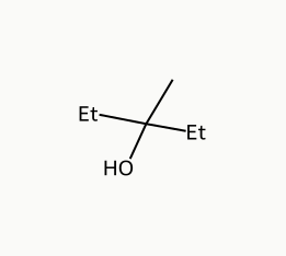 [CH2]CC(C)(O)C[CH2]